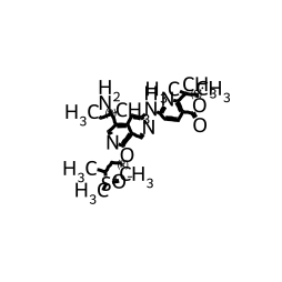 CC[C@@](C)(N)c1cnc(O[C@H](C)CC(C)[S+](C)[O-])c2cnc(Nc3ccc4c(n3)C(C)(C)[C@H](C)OC4=O)cc12